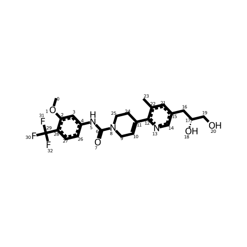 COc1cc(NC(=O)N2CC=C(c3ncc(C[C@@H](O)CO)cc3C)CC2)ccc1C(F)(F)F